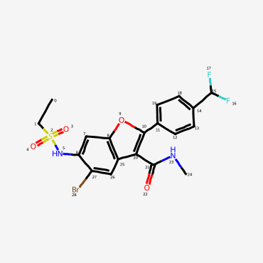 CCS(=O)(=O)Nc1cc2oc(-c3ccc(C(F)F)cc3)c(C(=O)NC)c2cc1Br